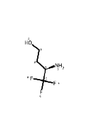 N[C@H](CCO)C(F)(F)F